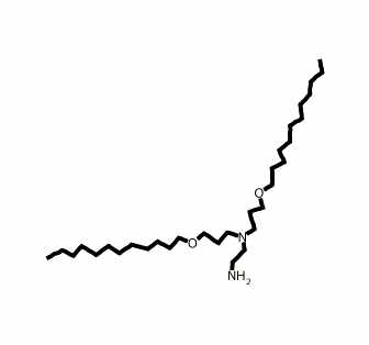 CCCCCCCCCCCCOCCCN(CCN)CCCOCCCCCCCCCCCC